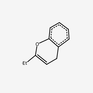 C[CH]C1=CCc2ccccc2O1